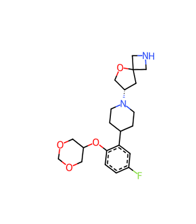 Fc1ccc(OC2COCOC2)c(C2CCN([C@@H]3COC4(CNC4)C3)CC2)c1